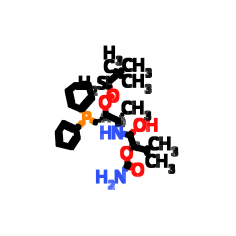 CC(C)[C@@H](OC(N)=O)C(O)N[C@@H](C)[C@H](CP(c1ccccc1)c1ccccc1)OO[SiH2]C(C)(C)C